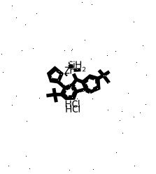 CC(C)(C)c1ccc2c(c1)[CH]([Zr]([CH3])([CH3])=[SiH2])c1c-2ccc(C(C)(C)C)c1C1=CC=CC1.Cl.Cl